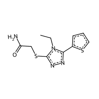 CCn1c(SCC(N)=O)nnc1-c1cccs1